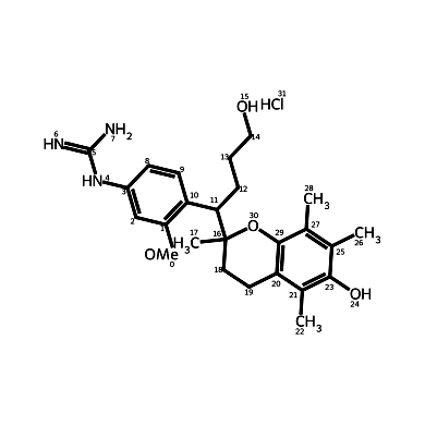 COc1cc(NC(=N)N)ccc1C(CCCO)C1(C)CCc2c(C)c(O)c(C)c(C)c2O1.Cl